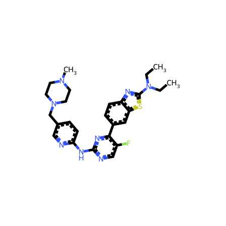 CCN(CC)c1nc2ccc(-c3nc(Nc4ccc(CN5CCN(C)CC5)cn4)ncc3F)cc2s1